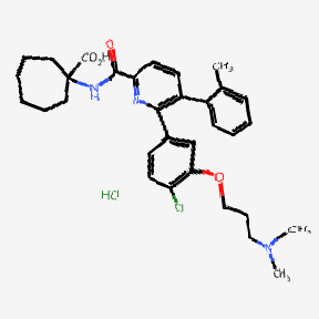 Cc1ccccc1-c1ccc(C(=O)NC2(C(=O)O)CCCCCC2)nc1-c1ccc(Cl)c(OCCCN(C)C)c1.Cl